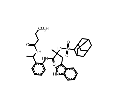 CC(NC(=O)CCC(=O)O)c1ccccc1NC(=O)C(C)(Cc1c[nH]c2ccccc12)NS(=O)(=O)C1C2CC3CC(C2)CC1C3